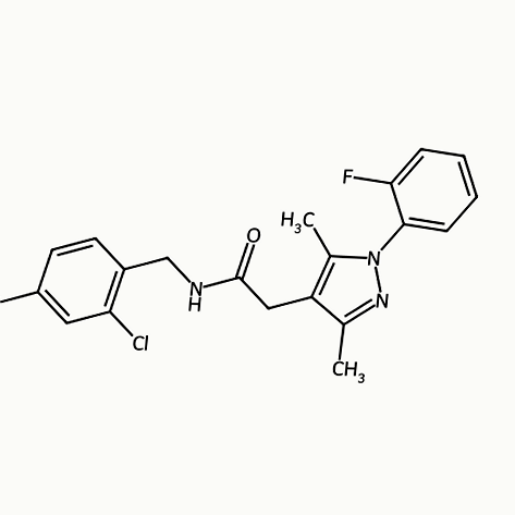 Cc1nn(-c2ccccc2F)c(C)c1CC(=O)NCc1ccc(F)cc1Cl